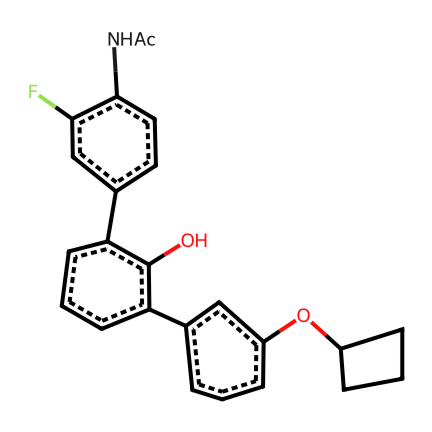 CC(=O)Nc1ccc(-c2cccc(-c3cccc(OC4CCC4)c3)c2O)cc1F